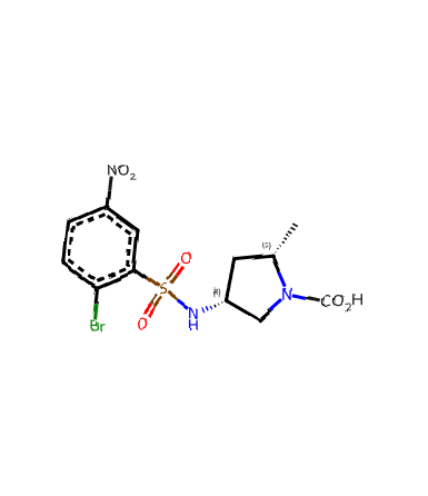 C[C@H]1C[C@@H](NS(=O)(=O)c2cc([N+](=O)[O-])ccc2Br)CN1C(=O)O